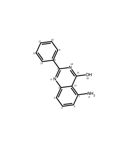 Nc1cccc2nc(-c3ccccc3)nc(O)c12